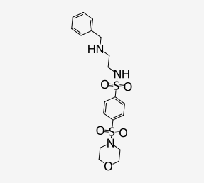 O=S(=O)(NCCNCc1ccccc1)c1ccc(S(=O)(=O)N2CCOCC2)cc1